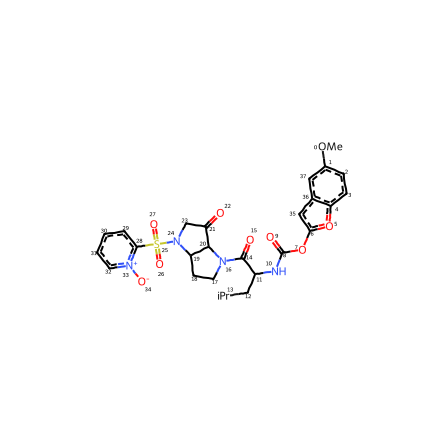 COc1ccc2oc(OC(=O)NC(CC(C)C)C(=O)N3CCC4C3C(=O)CN4S(=O)(=O)c3cccc[n+]3[O-])cc2c1